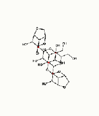 OCC1OC(OC2C3COC2C(O)C(OC2C(O)C(CO)OC(OC4C5COC4C(O)C(O)O5)C2O)O3)C(O)C(O)C1O